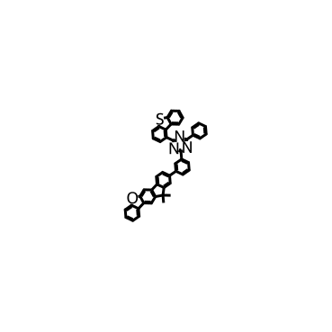 CC1(C)c2cc(-c3cccc(-c4nc(-c5ccccc5)nc(-c5cccc6sc7ccccc7c56)n4)c3)ccc2-c2cc3oc4ccccc4c3cc21